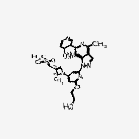 COc1ccncc1-c1cc2c(cnn2-c2cc(N3C[C@H](CS(C)(=O)=O)[C@H]3C)cc(OCCO)n2)c(C)n1